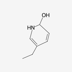 CCC1=CNC(O)C=C1